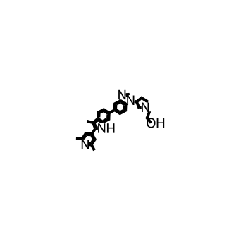 Cc1cc(-c2[nH]c3cc(-c4ccc5c(c4)ncn5C4CCN(CCO)C4)ccc3c2C)cc(C)n1